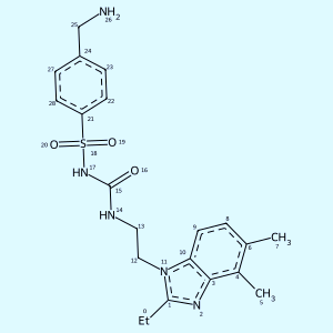 CCc1nc2c(C)c(C)ccc2n1CCNC(=O)NS(=O)(=O)c1ccc(CN)cc1